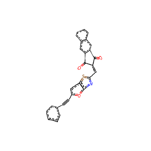 O=C1C(=Cc2nc3oc(C#Cc4ccccc4)cc3s2)C(=O)c2cc3ccccc3cc21